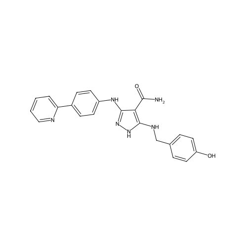 NC(=O)c1c(Nc2ccc(-c3ccccn3)cc2)n[nH]c1NCc1ccc(O)cc1